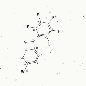 Fc1c(F)c(F)c(C2CC3CC(Br)=C=C=C32)c(F)c1F